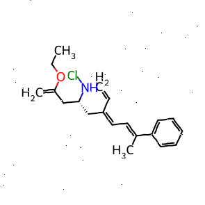 C=C/C(=C\C=C(/C)c1ccccc1)C[C@H](CC(=C)OCC)NCl